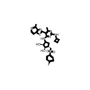 Cc1nc(NC2CCC2)nc(NC2C[C@H](CS(=O)(=O)c3ccc(F)cc3)[C@@H](O)[C@H]2O)c1-c1nc2c(C)nccc2s1